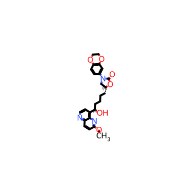 COc1ccc2nccc([C@H](O)CCCC[C@@H]3CN(c4ccc5c(c4)OCCO5)C(=O)O3)c2n1